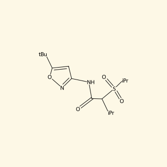 CC(C)C(C(=O)Nc1cc(C(C)(C)C)on1)S(=O)(=O)C(C)C